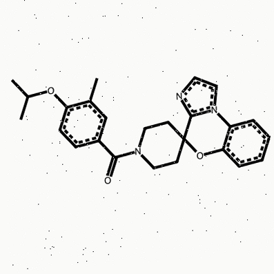 Cc1cc(C(=O)N2CCC3(CC2)Oc2ccccc2-n2ccnc23)ccc1OC(C)C